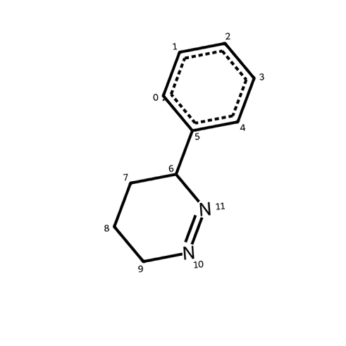 [c]1ccccc1C1CCCN=N1